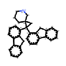 c1ccc2c(c1)Cc1c-2cccc1C1(c2cccc3c2Cc2ccccc2-3)CC12CCCNC2